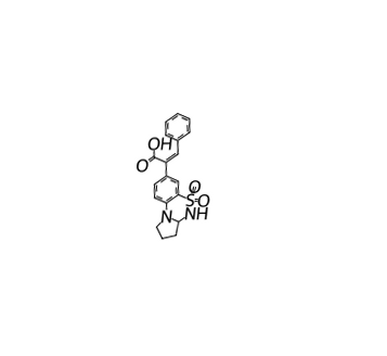 O=C(O)C(=Cc1ccccc1)c1ccc2c(c1)S(=O)(=O)NC1CCCN21